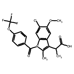 COc1cc2c(C(C)C(=O)O)c(C)n(C(=O)c3ccc(OC(F)(F)F)cc3)c2cc1Cl